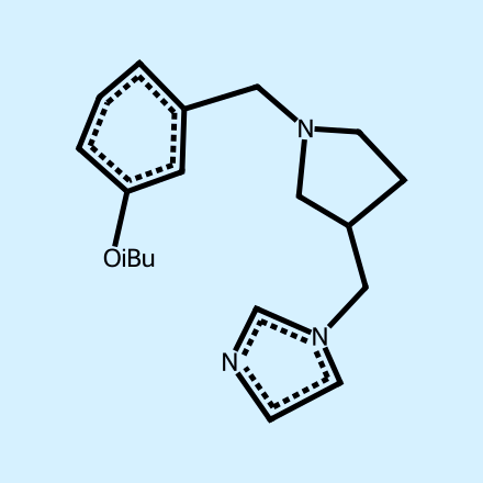 CC(C)COc1cccc(CN2CCC(Cn3ccnc3)C2)c1